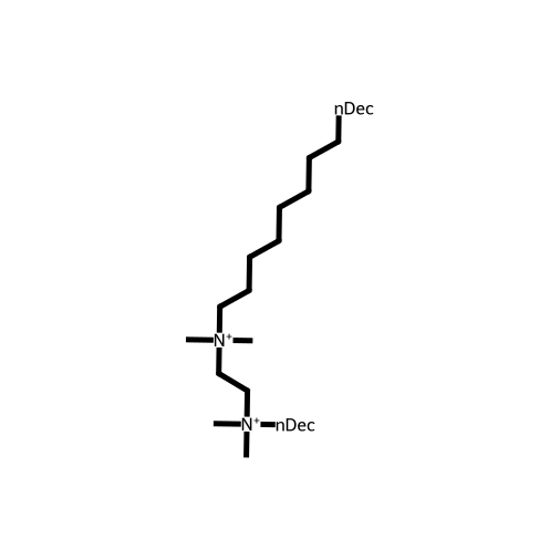 CCCCCCCCCCCCCCCCCC[N+](C)(C)CC[N+](C)(C)CCCCCCCCCC